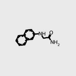 NC(=O)CNc1ccc2ccccc2c1